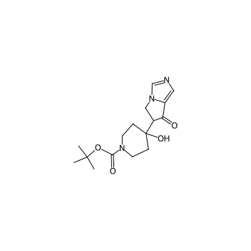 CC(C)(C)OC(=O)N1CCC(O)(C2Cn3cncc3C2=O)CC1